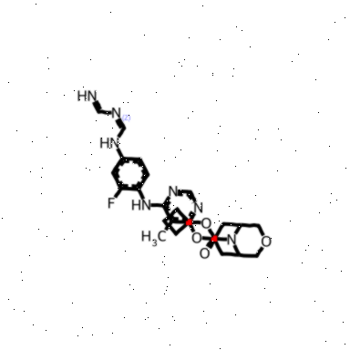 Cc1c(Nc2ccc(N/C=N\C=N)cc2F)ncnc1OC1CC2COCC(C1)N2C(=O)OC1CCC1